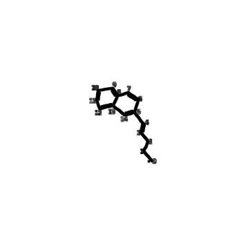 [CH2]CCC=Cc1ccc2ccccc2c1